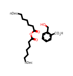 CCCCCCCCCCCCCCCC(=O)OC(=O)CCCCCCCCCCCCCCC.O=C(O)c1ccccc1CO